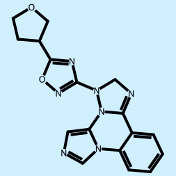 c1ccc2c(c1)C1=NCN(c3noc(C4CCOC4)n3)N1c1cncn1-2